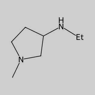 CCNC1CCN(C)C1